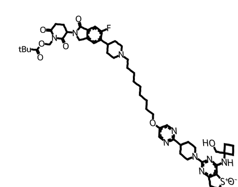 CC(C)(C)C(=O)OCN1C(=O)CCC(N2Cc3cc(C4CCN(CCCCCCCCCOc5cnc(C6CCN(c7nc8c(c(NC9(CO)CCC9)n7)[S@+]([O-])CC8)CC6)nc5)CC4)c(F)cc3C2=O)C1=O